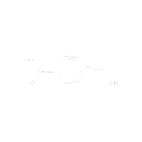 O=S(O)c1ccc(CO)cc1